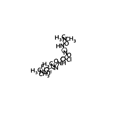 CN(C)CC(=O)NC1CCN(C(=O)c2ccc(NC(=O)c3ncc(-c4cc(F)c(N(C)C)nc4F)n3C)cc2Cl)CC1